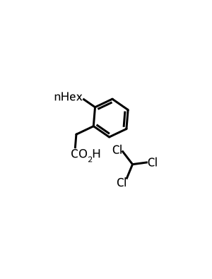 CCCCCCc1ccccc1CC(=O)O.ClC(Cl)Cl